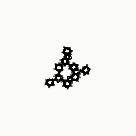 c1ccc(-c2nc(-c3ccccc3)nc(-c3cccc4c3oc3c4ccc4c3c3cc(-c5cccc6c5oc5ccccc56)ccc3n4-c3ccccc3)n2)cc1